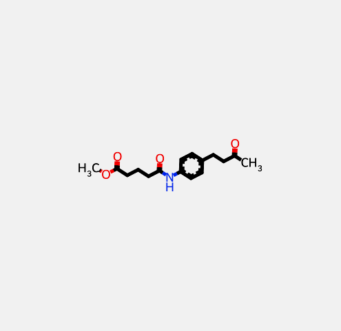 COC(=O)CCCC(=O)Nc1ccc(CCC(C)=O)cc1